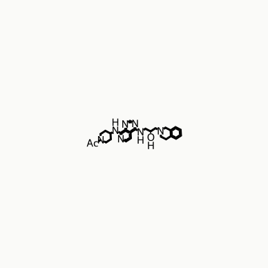 CC(=O)N1CCC(Nc2nccc3c(NC[C@@H](O)CN4CCc5ccccc5C4)ncnc23)CC1